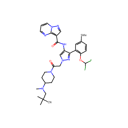 CSc1ccc(OC(F)F)c(-c2nn(CC(=O)N3CCC(N(C)CC(C)(C)C#N)CC3)cc2NC(=O)c2cnn3cccnc23)c1